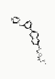 NOOSOc1ccc2cc(-c3cccc(Cn4cncn4)c3)ccc2c1